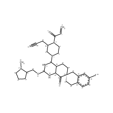 C=CC(=O)N1CCN(C2NC(OCC3CCCN3C)NC3C(=O)[C@@]4(CCc5ccc(F)cc5C4)CCC32)CC1CC#N